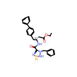 CCOC(=O)C[C@@H](Cc1ccc(-c2ccccc2)cc1)NC(=O)C1=NPNN1Cc1ccccc1